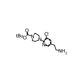 CC(C)(C)OC(=O)N1CCN(c2ncc(CCN)cc2Cl)CC1